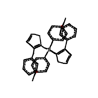 Cc1cc[c]([Ti]([C]2=C(c3ccccc3)C=CC2)([C]2=C(c3ccccc3)C=CC2)[c]2ccc(C)cc2)cc1